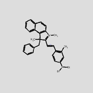 CCN(CC)c1ccc(/C=C/C2=[N+](C)c3ccc4ccccc4c3C2(C)Cc2ccccc2)c(C)c1